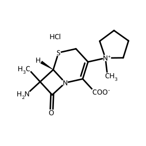 CC1(N)C(=O)N2C(C(=O)[O-])=C([N+]3(C)CCCC3)CS[C@H]21.Cl